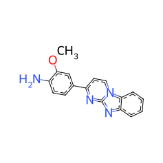 COc1cc(-c2ccn3c(n2)nc2ccccc23)ccc1N